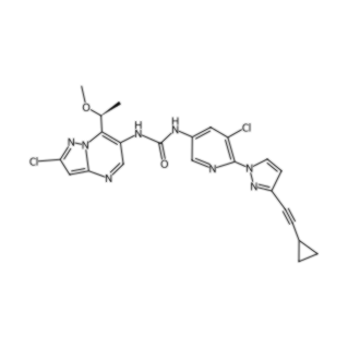 CO[C@@H](C)c1c(NC(=O)Nc2cnc(-n3ccc(C#CC4CC4)n3)c(Cl)c2)cnc2cc(Cl)nn12